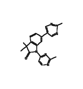 Cc1ncc(-c2ccc3c(c2)N(c2ccnc(C)n2)C(=O)C3(C)C)cn1